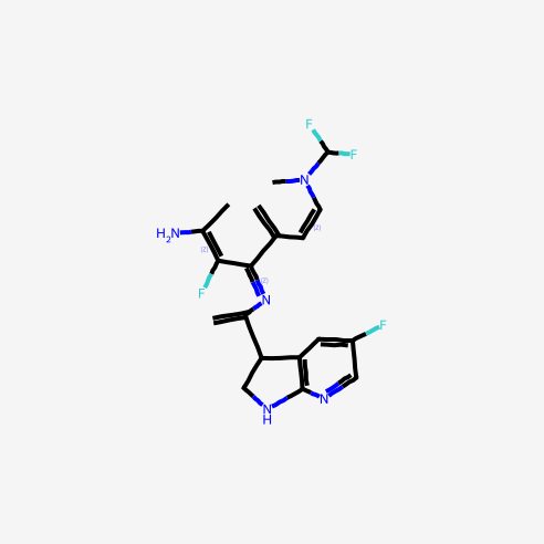 C=C(/C=C\N(C)C(F)F)C(=N/C(=C)C1CNc2ncc(F)cc21)/C(F)=C(\C)N